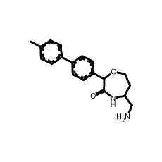 Cc1ccc(-c2ccc(C3OCCC(CN)NC3=O)cc2)cc1